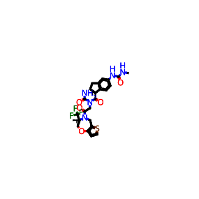 CNC(=O)Nc1ccc2c(c1)CC[C@@H]2C(=O)N(CC(=O)N1Cc2sccc2OC[C@]1(C)C(F)(F)F)C(N)=O